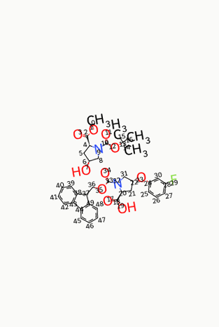 COC(=O)[C@@H]1C[C@H](O)CN1C(=O)OC(C)(C)C.O=C(O)[C@@H]1C[C@@H](Oc2cccc(F)c2)CN1C(=O)OCC1c2ccccc2-c2ccccc21